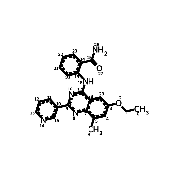 CCOc1cc(C)c2nc(-c3cccnc3)nc(Nc3ccccc3C(N)=O)c2c1